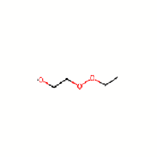 CCOOCC[O]